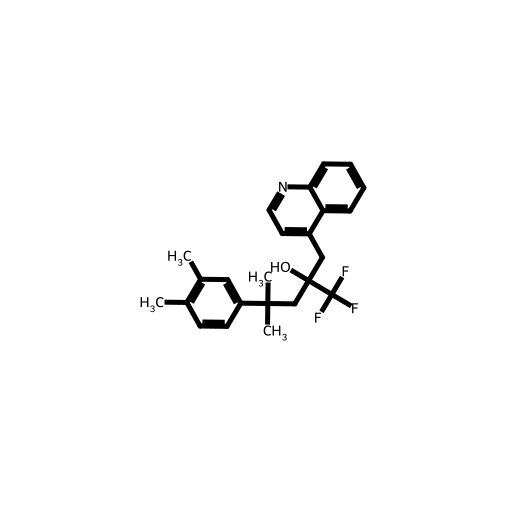 Cc1ccc(C(C)(C)CC(O)(Cc2ccnc3ccccc23)C(F)(F)F)cc1C